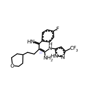 N=C(/C(CCC1CCOCC1)=C(/N)Nc1cc(C(F)(F)F)n[nH]1)c1ccc(F)cc1